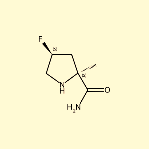 C[C@@]1(C(N)=O)C[C@H](F)CN1